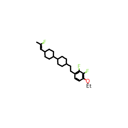 CCOc1ccc(CCC2CCC(C3CCC(/C=C(/C)F)CC3)CC2)c(F)c1F